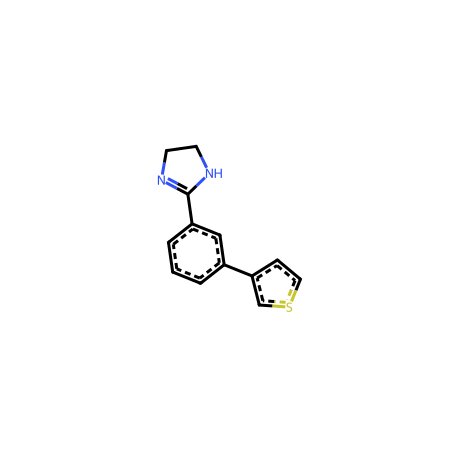 c1cc(C2=NCCN2)cc(-c2ccsc2)c1